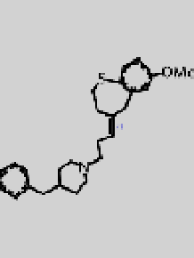 COc1ccc2c(c1)C/C(=C/CCN1CCC(Cc3ccccc3)CC1)CCS2